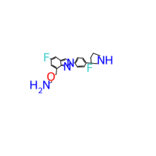 NCOCc1cc(F)cc2cn(-c3ccc([C@@]4(F)CCCNC4)cc3)nc12